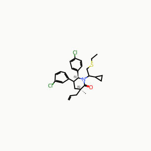 C=CC[C@@]1(C)CC(c2cccc(Cl)c2)[C@@H](c2ccc(Cl)cc2)N(C(CSCC)C2CC2)C1=O